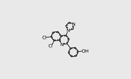 Oc1cccc(-c2cc(-n3ccnc3)c3ccc(Cl)c(Cl)c3n2)c1